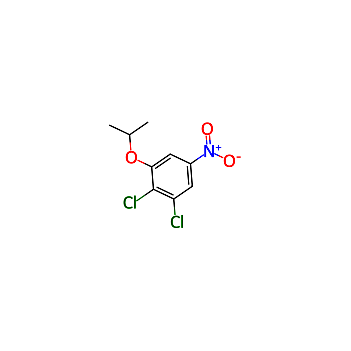 CC(C)Oc1cc([N+](=O)[O-])cc(Cl)c1Cl